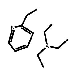 CCc1ccccn1.C[CH2][Al]([CH2]C)[CH2]C